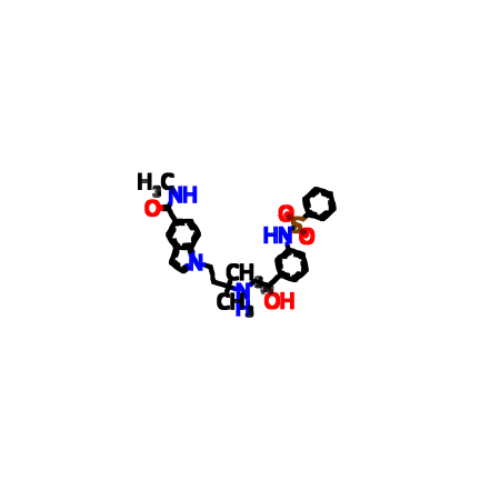 CNC(=O)c1ccc2c(ccn2CCC(C)(C)NC[C@H](O)c2cccc(NS(=O)(=O)c3ccccc3)c2)c1